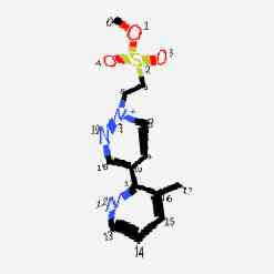 COS(=O)(=O)CC[n+]1ccc(-c2ncccc2C)cn1